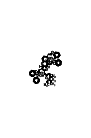 C=CC(C[C@H]1O[C@H]2C(CC(C)(C)[Si](O)(c3ccccc3)c3ccccc3)[C@H]3O[C@@H](CC=O)CCC3O[C@H]2[C@H]1CC(C)(C)[Si](O)(c1ccccc1)c1ccccc1)O[Si](CC)(CC)CC